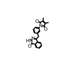 CC1=C(C)C(=O)N(c2cccc(Cc3n[nH]c(=O)c4ccccc34)c2)C1=O